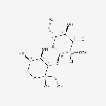 CC(=O)O[C@@]1(Cl)[C@@H](O[C@H]2[C@H](O)[C@H](O)COC2(O)CO)O[C@H](CO)[C@@H](O)[C@@H]1O